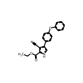 CCOC(=O)c1[nH]cc(-c2ccc(Oc3ccccc3)cc2)c1C#N